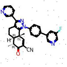 C[C@H]1C(=O)C(C#N)=C[C@@]2(C)c3c(c(-c4cccnc4)nn3-c3ccc(-c4cncc(F)c4)cc3)CC[C@H]12